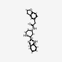 O=C(Cc1ccc2c(c1)CCO2)N[C@@H]1CCNC(c2nc3ccccc3[nH]2)C1